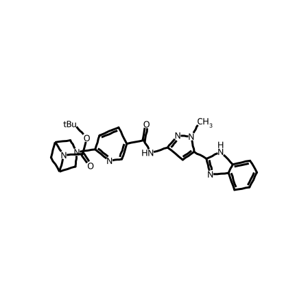 Cn1nc(NC(=O)c2ccc(N3CC4CC(C3)N4C(=O)OC(C)(C)C)nc2)cc1-c1nc2ccccc2[nH]1